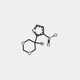 O=[N+]([O-])c1ccsc1C1(Br)COCOC1